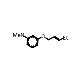 CCC=CCOc1cccc(NC)c1